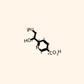 CC(C)CC(O)c1ccc(C(=O)O)cn1